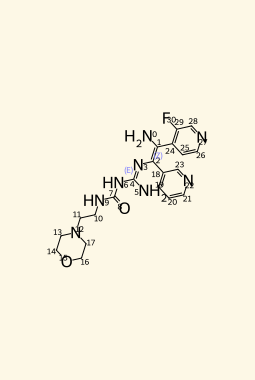 N/C(=C(\N=C(/N)NC(=O)NCCN1CCOCC1)c1cccnc1)c1ccncc1F